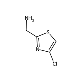 NCc1nc(Cl)cs1